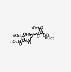 CCCCCCCCC(=O)OCC(COC(=O)CCCCCCCC)COC(=O)CCCN(C=O)CCCC(=O)OCC(COC(=O)CCCCCCCC)COC(=O)CCCCCCCC